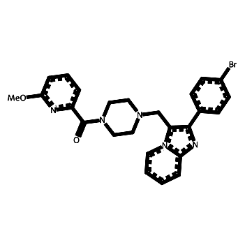 COc1cccc(C(=O)N2CCN(Cc3c(-c4ccc(Br)cc4)nc4ccccn34)CC2)n1